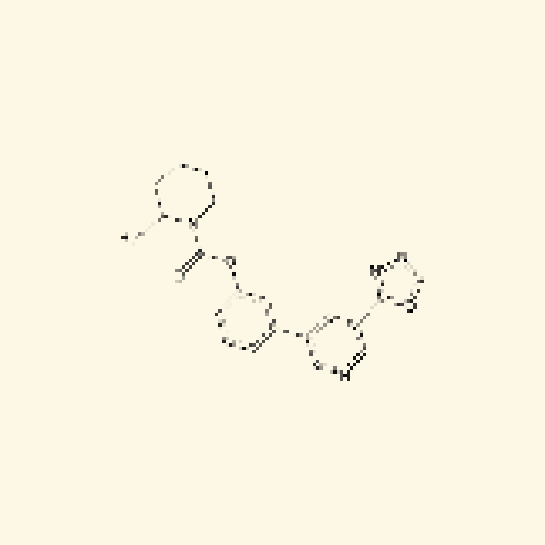 CC1CCCCN1C(=O)Oc1cccc(-c2cncc(-c3nnco3)c2)c1